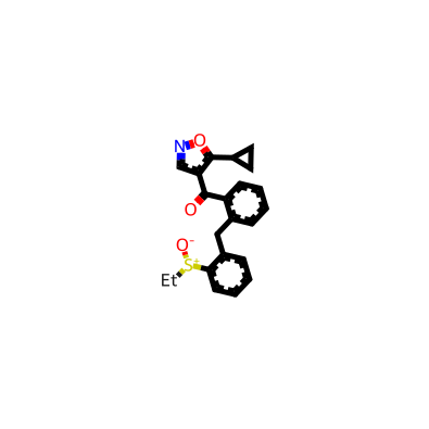 CC[S+]([O-])c1ccccc1Cc1ccccc1C(=O)c1cnoc1C1CC1